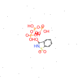 O=C1NS(=O)(=O)c2ccccc21.O=P(O)(O)OP(=O)(O)OP(=O)(O)O